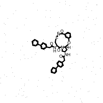 CN1CCC[C@H](NC(=O)Cc2ccc(-c3ccccc3)cc2)C(=O)N2C[C@@H](NC(=O)Cc3ccc(-c4ccccc4)cc3)C[C@H]2COc2cccc(c2)C1=O